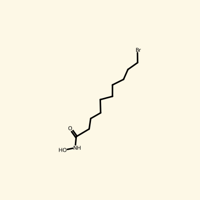 O=C(CCCCCCCCCBr)NO